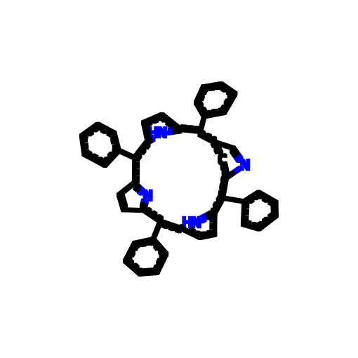 C1=Cc2nc1c(-c1ccccc1)c1ccc([nH]1)c(-c1ccccc1)c1cc(c(-c3ccccc3)c3ccc([nH]3)c2-c2ccccc2)N=C1